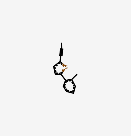 CC#Cc1ccc(-c2ccccc2C)s1